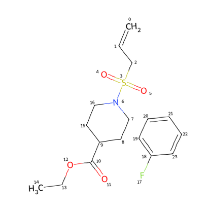 C=CCS(=O)(=O)N1CCC(C(=O)OCC)CC1.Fc1ccccc1